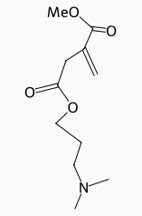 C=C(CC(=O)OCCCN(C)C)C(=O)OC